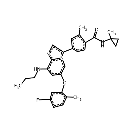 Cc1ccc(F)cc1Oc1cc(NCCC(F)(F)F)c2ncc(-c3ccc(C(=O)NC4(C)CC4)c(C)c3)n2c1